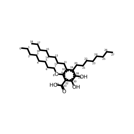 CCCCCCCCOc1c(CCCCCCCC)c(CCCCCCCC)c(O)c(O)c1C(=O)O